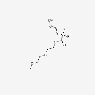 COCCOCCOC(=O)C(F)(F)SOOO